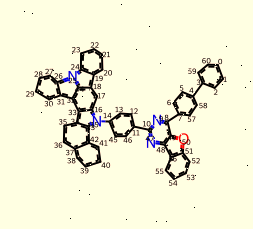 c1ccc(-c2ccc(-c3nc(-c4ccc(-n5c6cc7c8ccccc8n8c9ccccc9c(c6c6ccc9ccccc9c65)c78)cc4)nc4c3oc3ccccc34)cc2)cc1